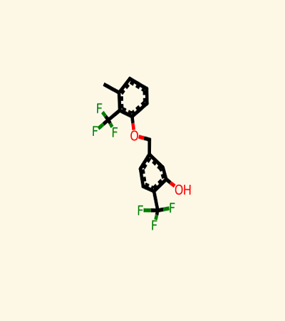 Cc1cccc(OCc2ccc(C(F)(F)F)c(O)c2)c1C(F)(F)F